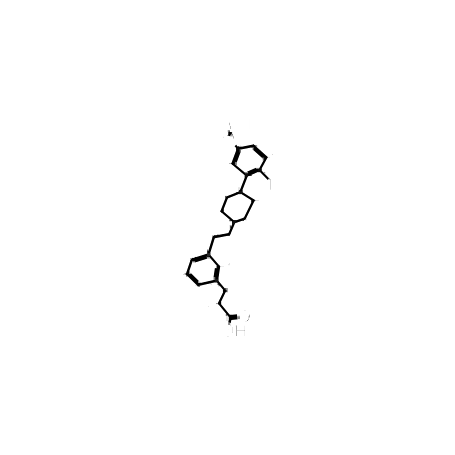 COc1ccc(F)c(C2CCC(CCc3cccc(CCC(=O)O)c3)CC2)c1